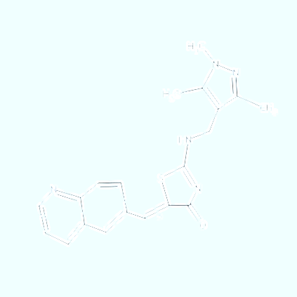 Cc1nn(C)c(C)c1CNC1=NC(=O)/C(=C/c2ccc3ncccc3c2)S1